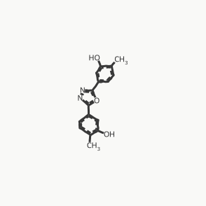 Cc1ccc(-c2nnc(-c3ccc(C)c(O)c3)o2)cc1O